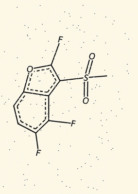 CS(=O)(=O)c1c(F)oc2ccc(F)c(F)c12